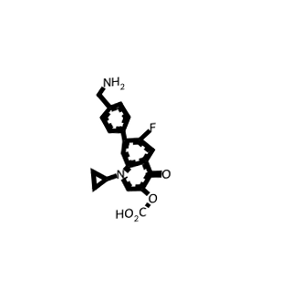 NCc1ccc(-c2cc3c(cc2F)c(=O)c(OC(=O)O)cn3C2CC2)cc1